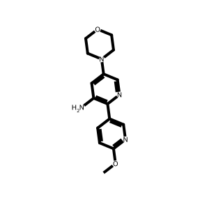 COc1ccc(-c2ncc(N3CCOCC3)cc2N)cn1